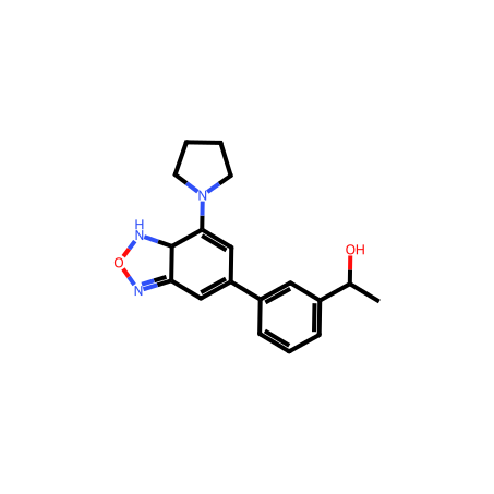 CC(O)c1cccc(C2=CC3=NONC3C(N3CCCC3)=C2)c1